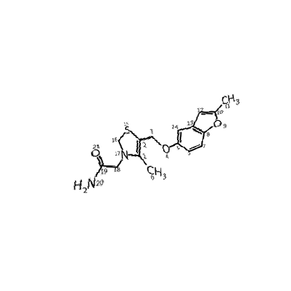 CC1=C(COc2ccc3oc(C)cc3c2)SCN1CC(N)=O